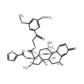 COc1cc(OC)cc(C(=O)CSC(=O)[C@@]2(OC(=O)c3ccco3)[C@H](C)C[C@H]3[C@@H]4C[C@H](F)C5=CC(=O)C=C[C@]5(C)[C@@]4(F)[C@@H](O)C[C@@]32C)c1